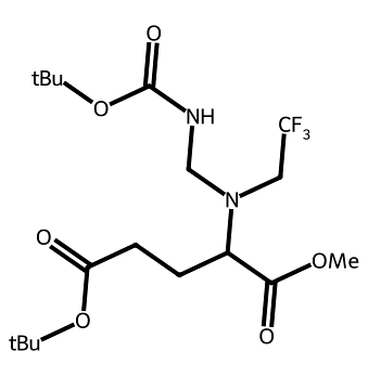 COC(=O)C(CCC(=O)OC(C)(C)C)N(CNC(=O)OC(C)(C)C)CC(F)(F)F